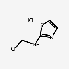 Cl.ClCNc1nccs1